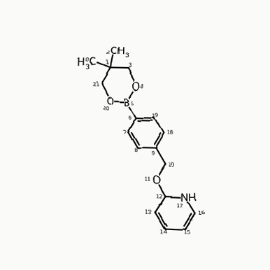 CC1(C)COB(c2ccc(COC3C=CC=CN3)cc2)OC1